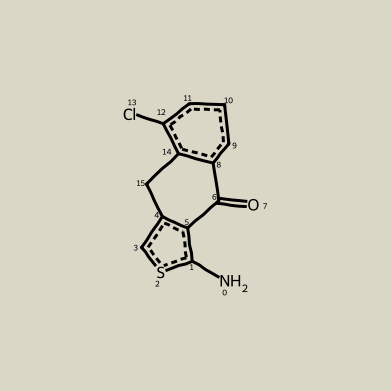 Nc1scc2c1C(=O)c1cccc(Cl)c1C2